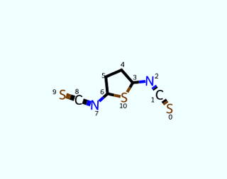 S=C=NC1CCC(N=C=S)S1